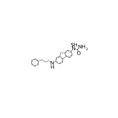 NC(=O)N(S)c1ccc2c(c1)Cc1cc(NCCCc3ccccc3)ccc1-2